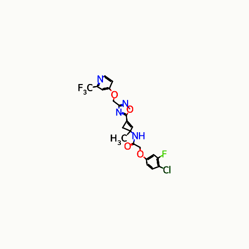 CC1(NC(=O)COc2ccc(Cl)c(F)c2)C=C(c2nc(COc3ccnc(C(F)(F)F)c3)no2)C1